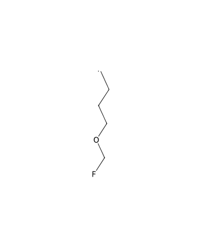 [CH2]CCCOCF